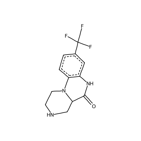 O=C1Nc2cc(C(F)(F)F)ccc2N2CCNCC12